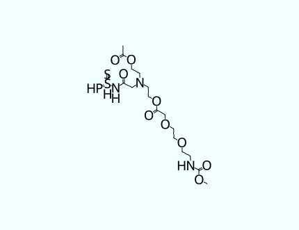 COC(=O)NCCOCCOCC(=O)OCCN(CCOC(C)=O)CC(=O)N[SH](=P)=S